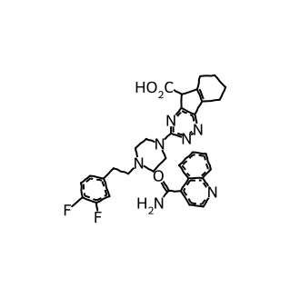 NC(=O)c1ccnc2ccccc12.O=C(O)C1C2=C(CCCC2)c2nnc(N3CCN(CCc4ccc(F)c(F)c4)CC3)nc21